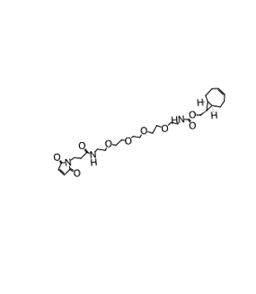 O=C(CCN1C(=O)C=CC1=O)NCCOCCOCCOCCOCCNC(=O)OC[C@@H]1[C@@H]2CC/C=C\CC[C@@H]21